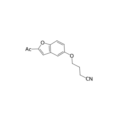 [CH2]C(=O)c1cc2cc(OCCCC#N)ccc2o1